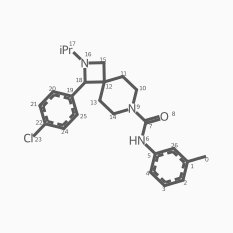 Cc1cccc(NC(=O)N2CCC3(CC2)CN(C(C)C)C3c2ccc(Cl)cc2)c1